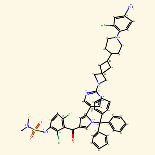 CCN(C)S(=O)(=O)Nc1ccc(F)c(C(=O)c2cc(-c3cnc(N4CC5(CC(C6CCN(c7ccc(N)cc7F)CC6)C5)C4)nc3)n(C(c3ccccc3)(c3ccccc3)c3ccccc3)c2)c1F